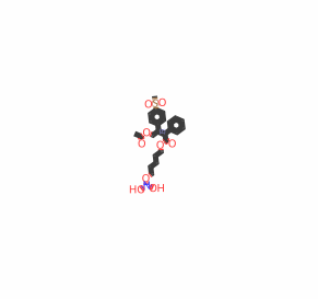 CC(=O)OC/C(=C(\C(=O)OCCCCCON(O)O)c1ccccc1)c1ccc(S(C)(=O)=O)cc1